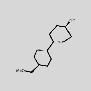 CCC[C@H]1CC[C@H]([C@H]2CC[C@H](COC)CC2)CC1